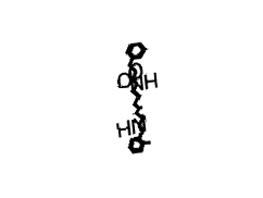 Cc1ccccc1CNCCCCCCNC(=O)OCc1ccccc1